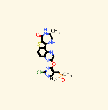 C[C@@H]1CNc2c(sc3ccc4nc(Oc5nc(Cl)ncc5CP(C)(C)=O)cnc4c23)C(=O)N1